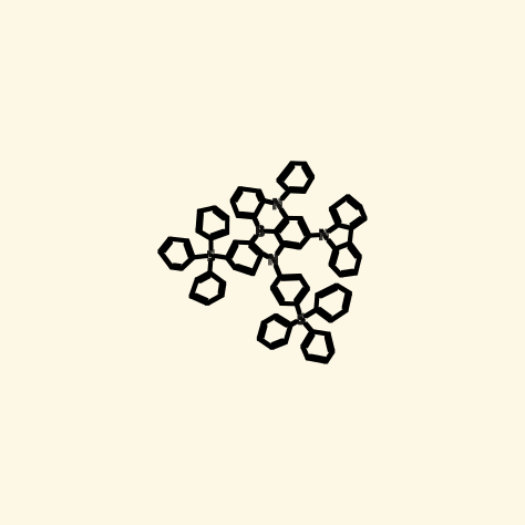 c1ccc(N2c3ccccc3B3c4cc(S(c5ccccc5)(c5ccccc5)c5ccccc5)ccc4N(c4ccc(S(c5ccccc5)(c5ccccc5)c5ccccc5)cc4)c4cc(-n5c6ccccc6c6ccccc65)cc2c43)cc1